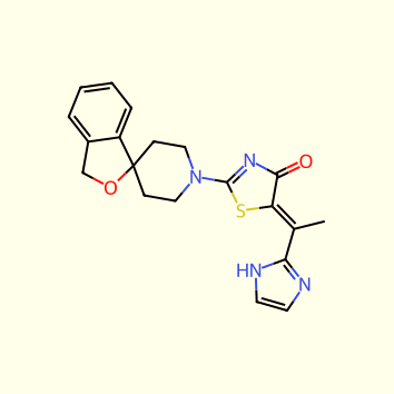 C/C(=C1/SC(N2CCC3(CC2)OCc2ccccc23)=NC1=O)c1ncc[nH]1